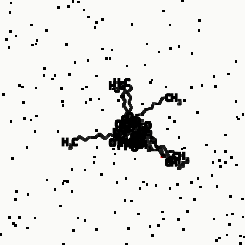 CCCCCCCCS(=O)(=O)N(F)C([SiH2]OC)(N(F)S(=O)(=O)CCCCCCCC)C(N(F)S(=O)(=O)CCCCCCCC)(N(F)S(=O)(=O)CCCCCCCC)C(N(F)S(=O)(=O)CCCCCCCC)(N(F)S(=O)(=O)CCCCCCCC)N(F)S(=O)(=O)CCCCCCCC